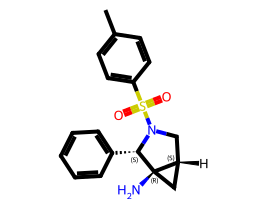 Cc1ccc(S(=O)(=O)N2C[C@@H]3C[C@]3(N)[C@@H]2c2ccccc2)cc1